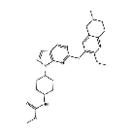 COC(=O)N[C@H]1CC[C@H](n2ncc3cnc(Nc4cc5c(cc4OC)CCN(C)C5)nc32)CC1